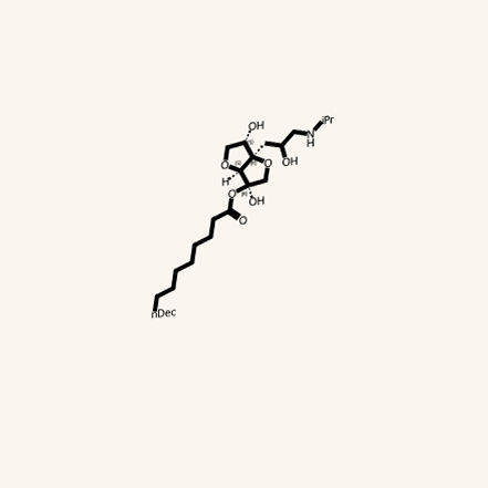 CCCCCCCCCCCCCCCCCC(=O)O[C@]1(O)CO[C@]2(CC(O)CNC(C)C)[C@@H](O)CO[C@@H]21